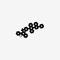 CC1(C)c2ccc(-c3c4ccccc4c(-c4ccc(-c5ccccc5)c5ccccc45)c4ccccc34)cc2-c2c1c1c3ccccc3oc1c1ccccc21